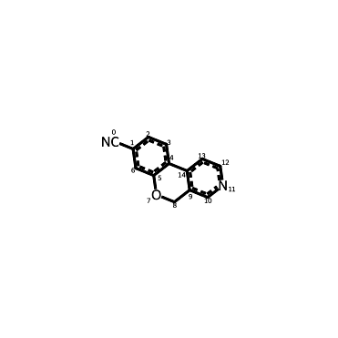 N#Cc1ccc2c(c1)OCc1cnccc1-2